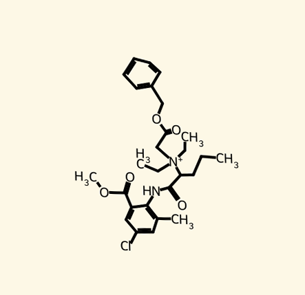 CCCC(C(=O)Nc1c(C)cc(Cl)cc1C(=O)OC)[N+](CC)(CC)CC(=O)OCc1ccccc1